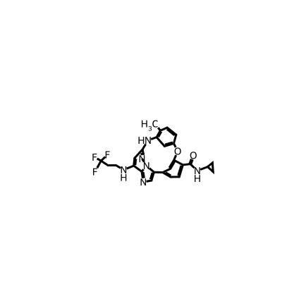 Cc1ccc2cc1[nH]c1cc(NCCC(F)(F)F)c3ncc(c4ccc(C(=O)NC5CC5)c(c4)o2)n3n1